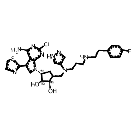 Nc1nc(Cl)nc2c1c(-c1nccs1)cn2[C@@H]1CC(CN(CCCNCCc2ccc(F)cc2)c2cn[nH]c2)[C@@H](O)[C@H]1O